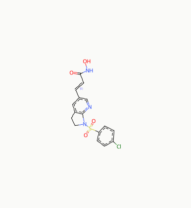 O=C(/C=C/c1cnc2c(c1)CCN2S(=O)(=O)c1ccc(Cl)cc1)NO